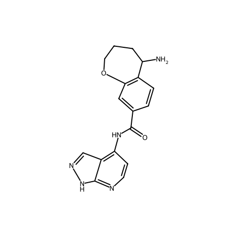 NC1CCCOc2cc(C(=O)Nc3ccnc4[nH]ncc34)ccc21